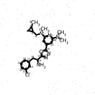 CC1CC1CN(C)c1cc(-c2nnc(C(N)Cc3cccc(Cl)c3)o2)cc(N(C)C)n1